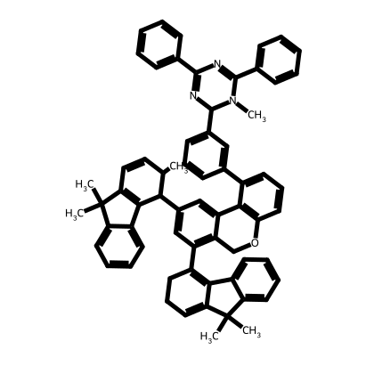 CC1C=CC2=C(c3ccccc3C2(C)C)C1c1cc(C2=C3C(=CCC2)C(C)(C)c2ccccc23)c2c(c1)-c1c(cccc1-c1cccc(C3N=C(c4ccccc4)N=C(c4ccccc4)N3C)c1)OC2